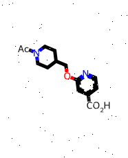 CC(=O)N1CCC(COc2cc(C(=O)O)ccn2)CC1